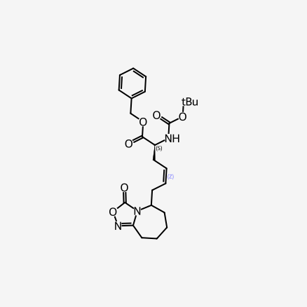 CC(C)(C)OC(=O)N[C@@H](C/C=C\CC1CCCCc2noc(=O)n21)C(=O)OCc1ccccc1